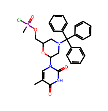 Cc1cn(C2CN(C(c3ccccc3)(c3ccccc3)c3ccccc3)CC(COP(C)(=O)Cl)O2)c(=O)[nH]c1=O